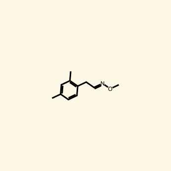 CON=CCc1ccc(C)cc1C